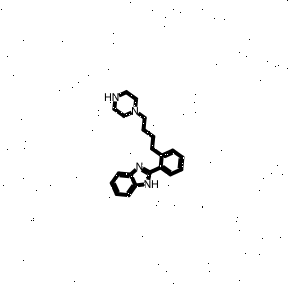 c1ccc(-c2nc3ccccc3[nH]2)c(CCCCN2CCNCC2)c1